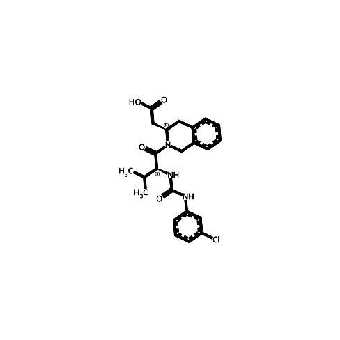 CC(C)[C@H](NC(=O)Nc1cccc(Cl)c1)C(=O)N1Cc2ccccc2C[C@@H]1CC(=O)O